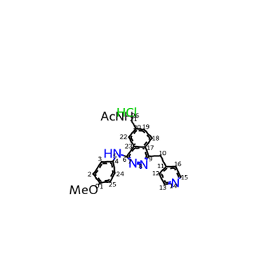 COc1ccc(Nc2nnc(Cc3ccncc3)c3ccc(NC(C)=O)cc23)cc1.Cl